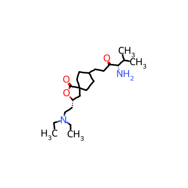 CCN(CC)CC[C@H]1CC2(CCC(CCC(=O)[C@@H](N)C(C)C)CC2)C(=O)O1